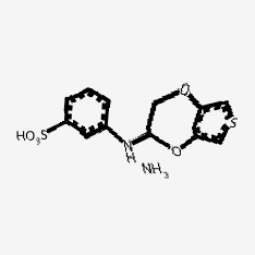 N.O=S(=O)(O)c1cccc(NC2COc3cscc3O2)c1